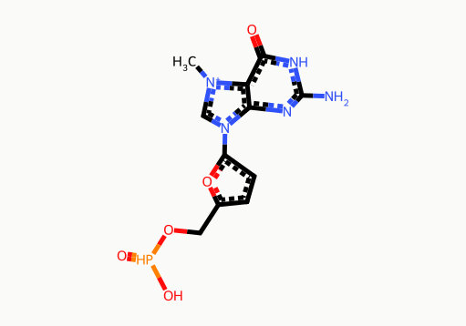 C[n+]1cn(-c2ccc(CO[PH](=O)O)o2)c2nc(N)[nH]c(=O)c21